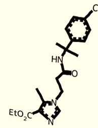 CCOC(=O)c1ncn(CCC(=O)NC(C)(C)c2ccc(Cl)cc2)c1C